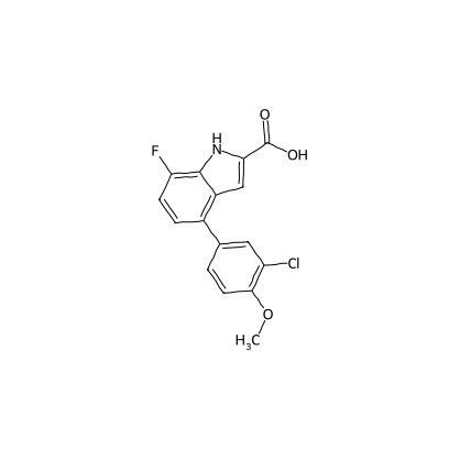 COc1ccc(-c2ccc(F)c3[nH]c(C(=O)O)cc23)cc1Cl